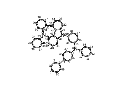 c1ccc(-c2ccc(N(c3ccccc3)c3cccc(-n4c5cccc6c7ccccc7n7c8ccccc8c8ccc4c(c65)c87)c3)cc2)cc1